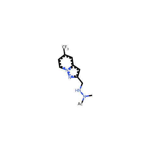 CC(=O)N(C)NCc1cc2cc(C(F)(F)F)ccn2n1